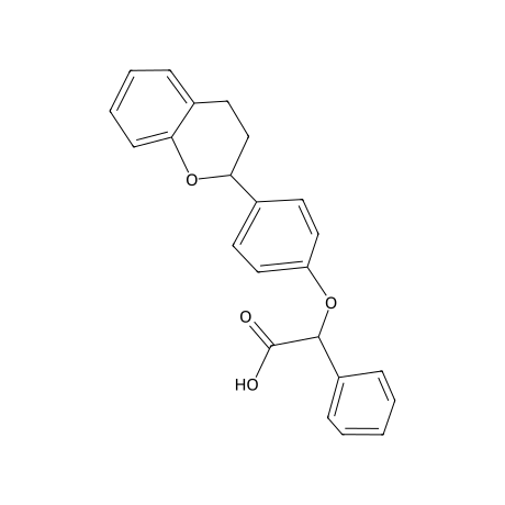 O=C(O)C(Oc1ccc(C2CCc3ccccc3O2)cc1)c1ccccc1